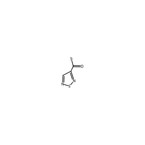 O=C([S])c1cnsn1